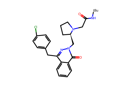 CC(C)(C)NC(=O)CN1CCC[C@@H]1Cn1nc(Cc2ccc(Cl)cc2)c2ccccc2c1=O